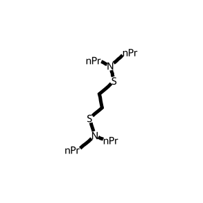 CCCN(CCC)SCCSN(CCC)CCC